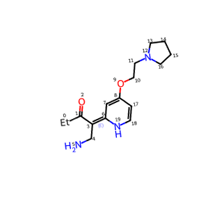 CCC(=O)/C(CN)=C1\C=C(OCCN2CCCC2)C=CN1